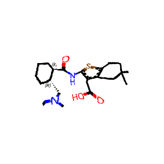 CN(C)C[C@@H]1CCCC[C@H]1C(=O)Nc1sc2c(c1C(=O)O)CC(C)(C)CC2